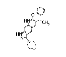 CC(c1ccccc1)c1cc2cc3c(N4CCOCC4)n[nH]c3cc2[nH]c1=O